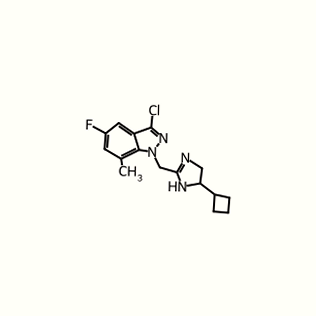 Cc1cc(F)cc2c(Cl)nn(CC3=NCC(C4CCC4)N3)c12